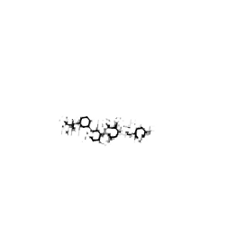 Cc1cnc(-c2cccc(C(C)(C)C(N)=O)c2)c(F)c1-n1c(C)cc(OCc2ncc(F)cc2F)c(Cl)c1=O